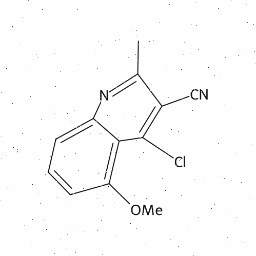 COc1cccc2nc(C)c(C#N)c(Cl)c12